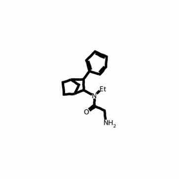 CCN(C(=O)CN)C1C2CCC(C2)C1c1ccccc1